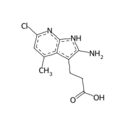 Cc1cc(Cl)nc2[nH]c(N)c(CCC(=O)O)c12